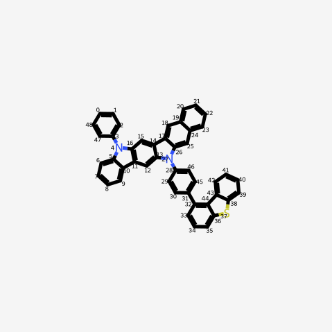 c1ccc(-n2c3ccccc3c3cc4c(cc32)c2cc3ccccc3cc2n4-c2ccc(-c3cccc4sc5ccccc5c34)cc2)cc1